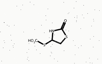 O=C(O)SC1CSC(=O)N1